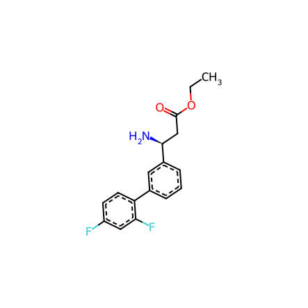 CCOC(=O)C[C@H](N)c1cccc(-c2ccc(F)cc2F)c1